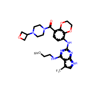 COCCNc1nc(Nc2ccc(C(=O)N3CCN(C4COC4)CC3)c3c2OCCO3)nc2[nH]cc(C(F)(F)F)c12